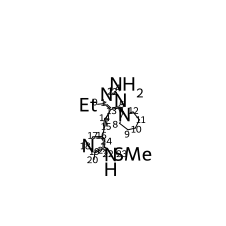 CCc1nc(N)nc(N2CCCCC2)c1C#Cc1cnc(C)c(NSC)c1